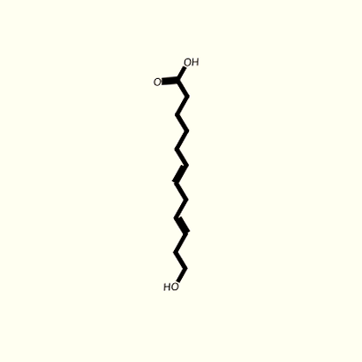 O=C(O)CCCC/C=C/C/C=C/CCO